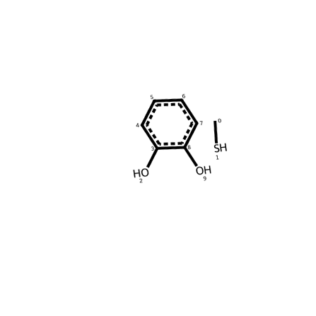 CS.Oc1ccccc1O